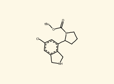 CC(C)(C)OC(=O)N1CCCC1c1cc(Cl)cc2c1CNC2